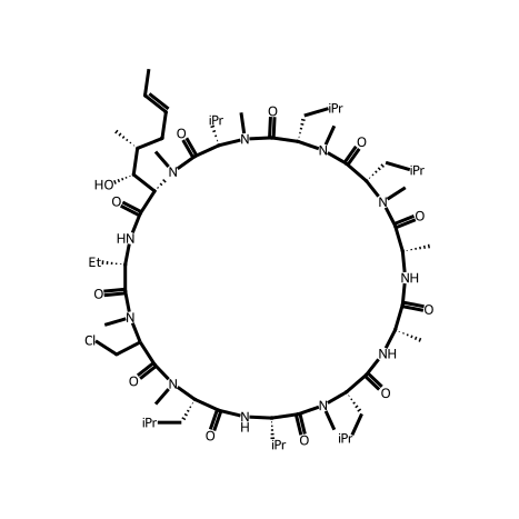 C/C=C/C[C@@H](C)[C@@H](O)[C@H]1C(=O)N[C@@H](CC)C(=O)N(C)C(CCl)C(=O)N(C)[C@@H](CC(C)C)C(=O)N[C@@H](C(C)C)C(=O)N(C)[C@@H](CC(C)C)C(=O)N[C@@H](C)C(=O)N[C@@H](C)C(=O)N(C)[C@@H](CC(C)C)C(=O)N(C)[C@@H](CC(C)C)C(=O)N(C)[C@@H](C(C)C)C(=O)N1C